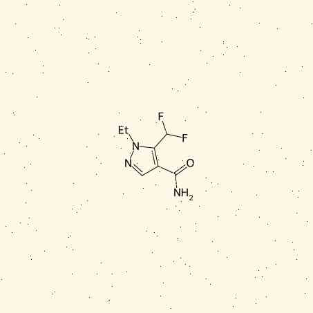 CCn1ncc(C(N)=O)c1C(F)F